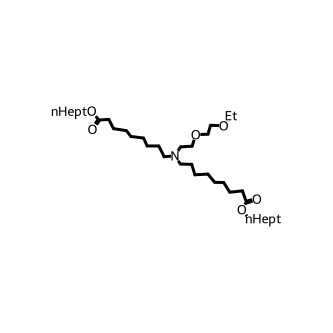 CCCCCCCOC(=O)CCCCCCCCN(CCCCCCCCC(=O)OCCCCCCC)CCOCCOCC